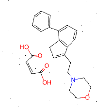 C1=C(CCN2CCOCC2)c2cccc(-c3ccccc3)c2C1.O=C(O)/C=C\C(=O)O